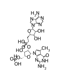 Cc1cn([C@@H]2O[C@H](CO[PH](=O)O)[C@H](O)[C@@H]2OP(=O)(O)CC[C@H]2O[C@@H](n3cnc4c(N)ncnc43)[C@@H](O)[C@H]2O)c2nc(N)[nH]c(=O)c12